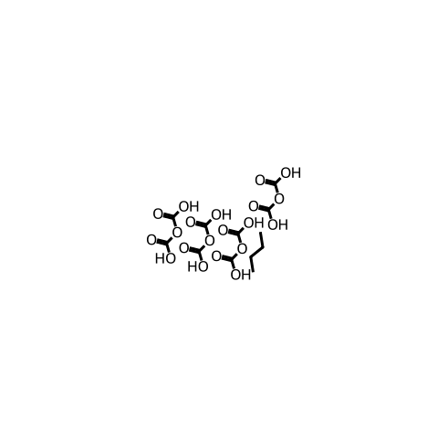 CCCC.O=C(O)OC(=O)O.O=C(O)OC(=O)O.O=C(O)OC(=O)O.O=C(O)OC(=O)O